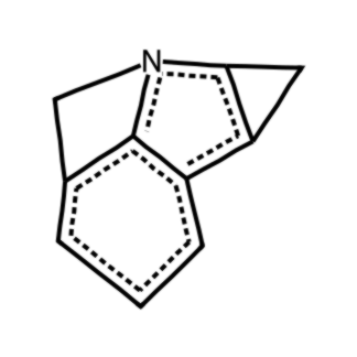 c1cc2c3c(c1)c1c(n3C2)C1